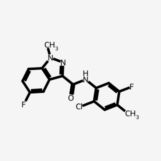 Cc1cc(Cl)c(NC(=O)c2nn(C)c3ccc(F)cc23)cc1F